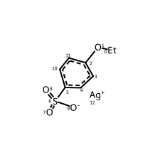 CCOc1ccc(S(=O)(=O)[O-])cc1.[Ag+]